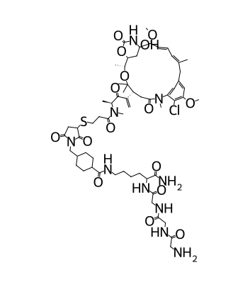 C=C(C(=O)[C@H](C)N(C)C(=O)CCSC1CC(=O)N(CC2CCC(C(=O)NCCCCC(NC(=O)CNC(=O)CNC(=O)CN)C(N)=O)CC2)C1=O)[C@H]1CC(=O)N(C)c2cc(cc(OC)c2Cl)C/C(C)=C/C=C/[C@@H](OC)[C@@]2(O)CC(OC(=O)N2)[C@@H](C)OC1(C)C